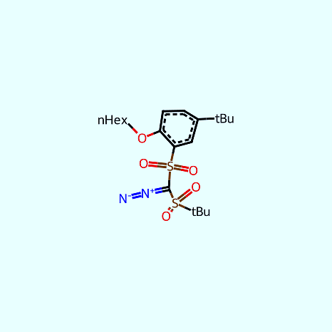 CCCCCCOc1ccc(C(C)(C)C)cc1S(=O)(=O)C(=[N+]=[N-])S(=O)(=O)C(C)(C)C